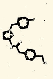 CC(C)Cc1ccc(CC(=O)Nc2ccn(Cc3ccc(F)cc3)n2)cc1